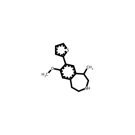 COc1cc2c(cc1-c1cccs1)C(C)CNCC2